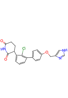 O=C1CCC(c2cccc(-c3ccc(OCc4c[nH]cn4)cc3)c2Cl)C(=O)N1